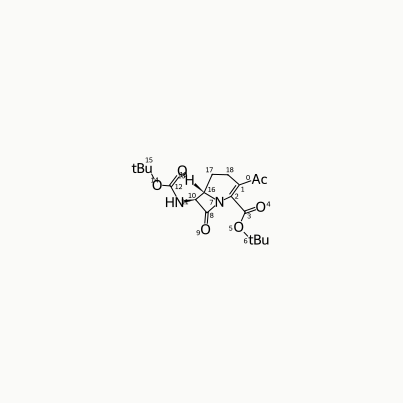 CC(=O)C1=C(C(=O)OC(C)(C)C)N2C(=O)[C@@H](NC(=O)OC(C)(C)C)[C@@H]2CC1